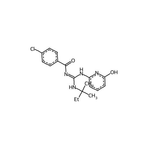 CCC(C)(C)N/C(=N/C(=O)c1ccc(Cl)cc1)Nc1cccc(O)n1